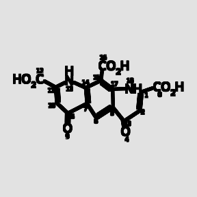 O=C(O)c1cc(=O)c2cc3c(=O)cc(C(=O)O)[nH]c3c(C(=O)O)c2[nH]1